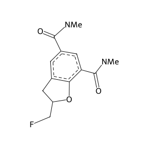 CNC(=O)c1cc2c(c(C(=O)NC)c1)OC(CF)C2